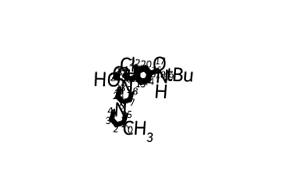 C[C@@H]1CCCN(C2CCN(C(=O)c3ccc(C(=O)NC(C)(C)C)cc3Cl)CC2)C1.O=CO